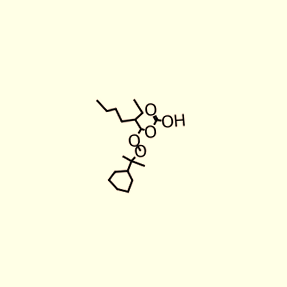 CCCCC(CC)C(OOC(C)(C)C1CCCCC1)OC(=O)O